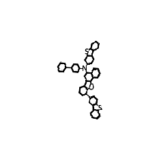 c1ccc(-c2ccc(N(c3ccc4c(c3)sc3ccccc34)c3cc4c5cccc(-c6ccc7sc8ccccc8c7c6)c5oc4c4ccccc34)cc2)cc1